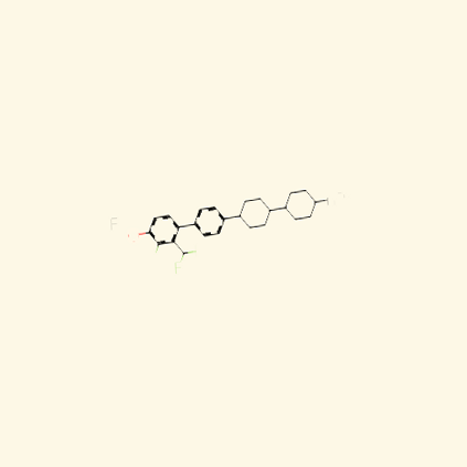 CCCC1CCC(C2CCC(c3ccc(-c4ccc(OCC)c(F)c4C(F)F)cc3)CC2)CC1